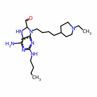 CCCCNc1nc(N)c2c(n1)N(CCCCC1CCN(CC)CC1)C(C=O)N2